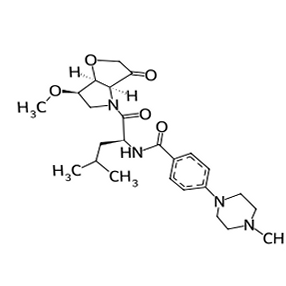 CO[C@@H]1CN(C(=O)[C@H](CC(C)C)NC(=O)c2ccc(N3CCN(C)CC3)cc2)[C@@H]2C(=O)CO[C@@H]21